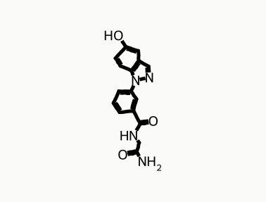 NC(=O)CNC(=O)c1cccc(-n2ncc3cc(O)ccc32)c1